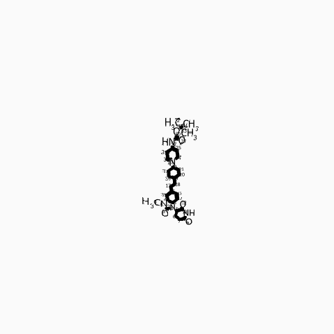 Cn1c(=O)n(C2CCC(=O)NC2=O)c2ccc(CCC3CCC(N4CCC(NC(=O)OC(C)(C)C)CC4)CC3)cc21